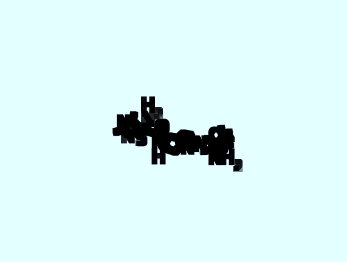 Cc1nc(C)c2c(N)c(C(=O)NC3CCc4nc(N5CC(N)C6(C5)OC(C)(C)C(C)(C)O6)ccc4C3)sc2n1